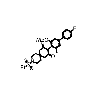 CCS(=O)(=O)N1CCC2(CC1)CC(=O)C(c1c(C)cc(-c3ccc(F)cc3)cc1OC)C(=O)C2